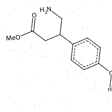 CCCCOc1ccc(C(CN)CC(=O)OC)cc1